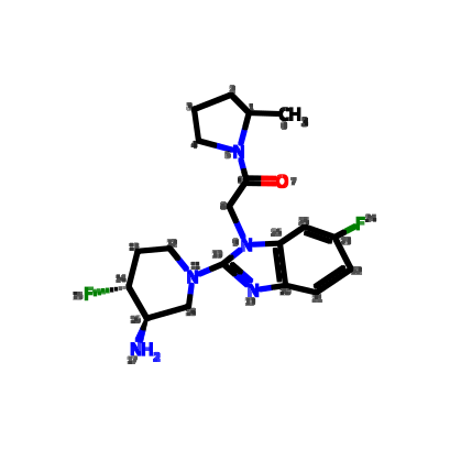 CC1CCCN1C(=O)Cn1c(N2CC[C@@H](F)[C@H](N)C2)nc2ccc(F)cc21